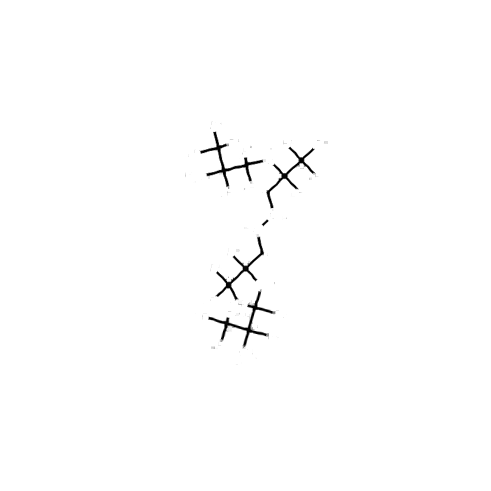 CC(F)(C(F)(F)F)C(F)(F)OC(F)(COOCC(F)(OC(F)(F)C(C)(F)C(F)(F)F)C(F)(F)F)C(F)(F)F